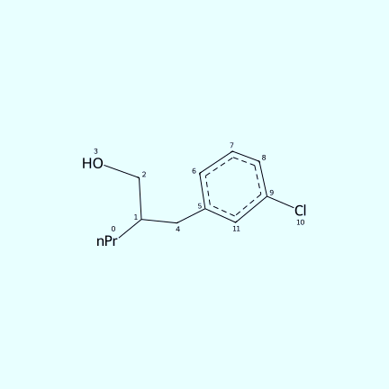 CCCC(CO)Cc1cccc(Cl)c1